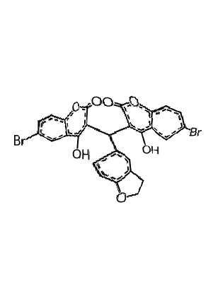 O=c1oc2ccc(Br)cc2c(O)c1C(c1ccc2c(c1)CCO2)c1c(O)c2cc(Br)ccc2oc1=O